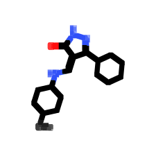 COC1CCC(N/C=C2\C(=O)NN=C2C2CCCCC2)CC1